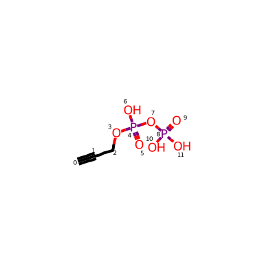 C#CCOP(=O)(O)OP(=O)(O)O